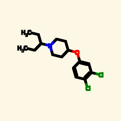 CCC(CC)N1CCC(Oc2ccc(Cl)c(Cl)c2)CC1